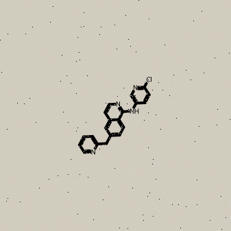 Clc1ccc(Nc2nccc3cc(Cc4ccccn4)ccc23)cn1